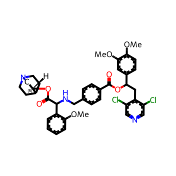 COc1ccc(C(Cc2c(Cl)cncc2Cl)OC(=O)c2ccc(CNC(C(=O)O[C@H]3CN4CCC3CC4)c3ccccc3OC)cc2)cc1OC